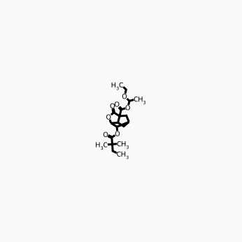 CCOC(C)OC(=O)C12CC3CC1C(OC2=O)C3OC(=O)C(C)(C)CC